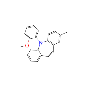 COc1ccccc1N1c2ccccc2C=Cc2cc(C)ccc21